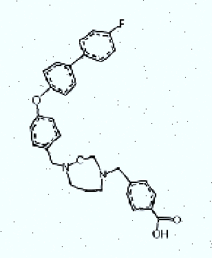 O=C(O)c1ccc(CN2CCCN(Cc3ccc(Oc4ccc(-c5ccc(F)cc5)cc4)cc3)CC2)cc1